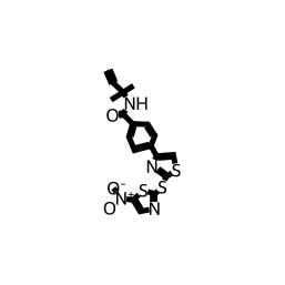 C#CC(C)(C)NC(=O)c1ccc(-c2csc(Sc3ncc([N+](=O)[O-])s3)n2)cc1